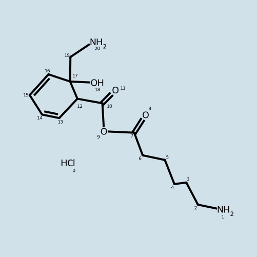 Cl.NCCCCCC(=O)OC(=O)C1C=CC=CC1(O)CN